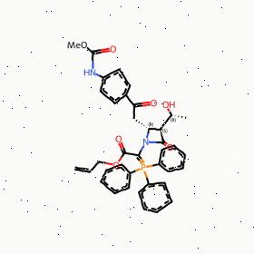 C=CCOC(=O)C(N1C(=O)[C@H]([C@@H](C)O)[C@H]1CC(=O)c1ccc(NC(=O)OC)cc1)=P(c1ccccc1)(c1ccccc1)c1ccccc1